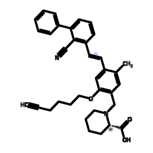 C#CCCCCOc1cc(/C=C/c2cccc(-c3ccccc3)c2C#N)c(C)cc1CN1CCCC[C@H]1C(=O)O